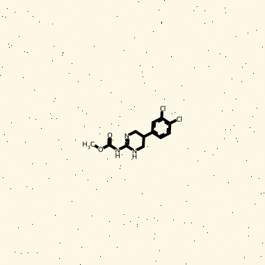 COC(=O)NC1=NCC(c2ccc(Cl)c(Cl)c2)CN1